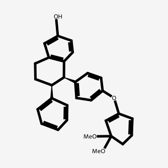 COC1(OC)C=C(Oc2ccc([C@@H]3c4ccc(O)cc4CC[C@@H]3c3ccccc3)cc2)C=CC1